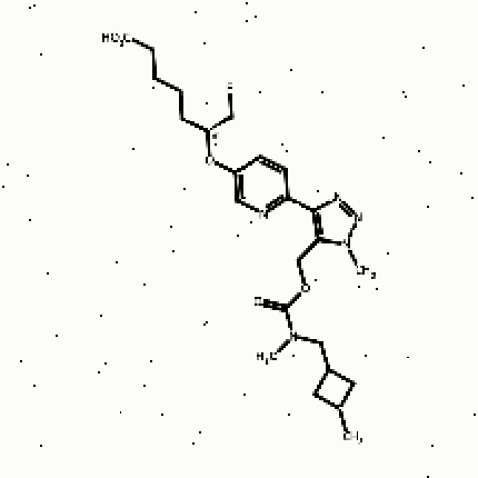 CC1CC(CN(C)C(=O)OCc2c(-c3ccc(O[C@H](CF)CCCCC(=O)O)cn3)nnn2C)C1